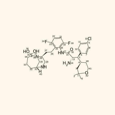 CC1(C)C[C@@H]([C@H](c2ccc(Cl)cc2)[C@H](N)C(=O)Nc2c(F)ccc(F)c2CC[C@H]2CN[C@@H]3CCCS(O)(O)N2C3)CCO1